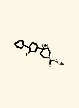 CC(C)(C)OC(=O)N1CCC(O)(c2ccc(-c3ccccc3)c(F)c2)CC1